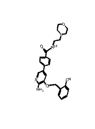 N#Cc1ccccc1COc1cc(-c2ccc(C(=O)NCCN3CCOCC3)cc2)cnc1N